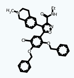 CCNC(=O)c1noc(-c2cc(Cl)c(OCc3ccccc3)cc2OCc2ccccc2)c1-c1ccc2c(c1)CCN(C)C2